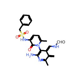 C=c1c(C)nc(N)c(-n2c(C)ccc(NS(=O)(=O)Cc3ccccc3)c2=O)c1=CNC=O